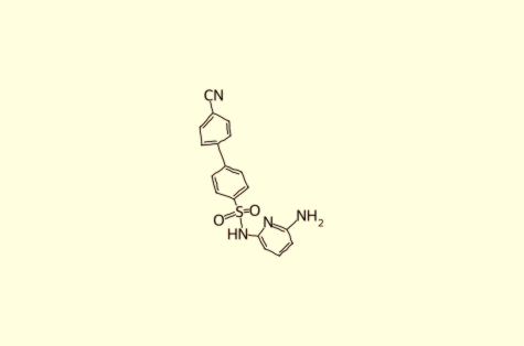 N#Cc1ccc(-c2ccc(S(=O)(=O)Nc3cccc(N)n3)cc2)cc1